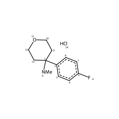 CNC1(c2ccc(F)cc2)CCOCC1.Cl